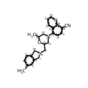 Cc1ccc2c(c1)CN(CC1CN(c3ccc(C#N)c4ncccc34)CC(C)O1)C2